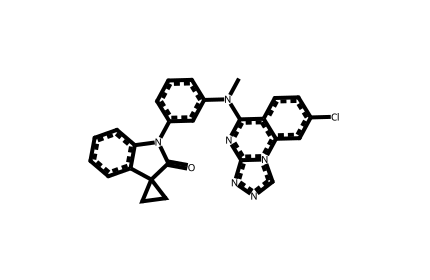 CN(c1cccc(N2C(=O)C3(CC3)c3ccccc32)c1)c1nc2nncn2c2cc(Cl)ccc12